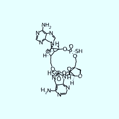 Nc1ncnc2c1ncn2C1O[C@@]23CO[C@@H]1[C@@H]2O[P@@](=O)(S)OC[C@H]1O[C@@H](n2cnc4c(N)ncnc42)[C@H](O[P@](=O)(S)OC3)[C@@H]1F